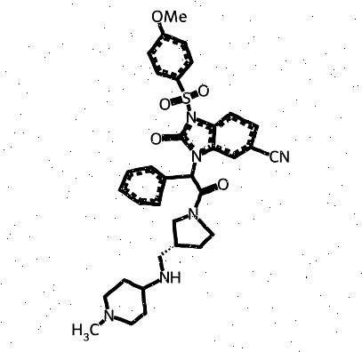 COc1ccc(S(=O)(=O)n2c(=O)n(C(C(=O)N3CC[C@H](CNC4CCN(C)CC4)C3)c3ccccc3)c3cc(C#N)ccc32)cc1